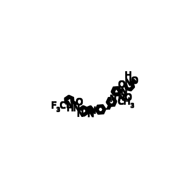 Cn1c(=O)n(C2CCC(=O)NC2=O)c2cccc(N3CCC(C[C@H]4CC[C@H](n5cc6cc(NC(=O)c7cccc(C(F)(F)F)n7)ncc6n5)CC4)CC3)c21